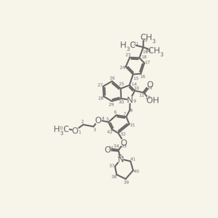 COCCOc1cc(Cn2c(C(=O)O)c(-c3ccc(C(C)(C)C)cc3)c3ccccc32)cc(OC(=O)N2CCCCC2)c1